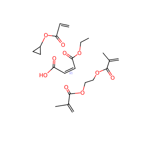 C=C(C)C(=O)OCCOC(=O)C(=C)C.C=CC(=O)OC1CC1.CCOC(=O)/C=C\C(=O)O